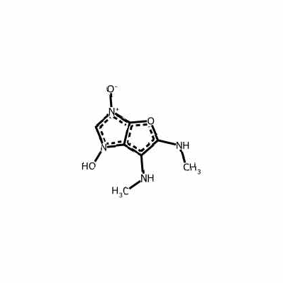 CNc1oc2c(c1NC)n(O)c[n+]2[O-]